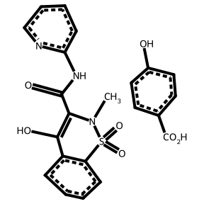 CN1C(C(=O)Nc2ccccn2)=C(O)c2ccccc2S1(=O)=O.O=C(O)c1ccc(O)cc1